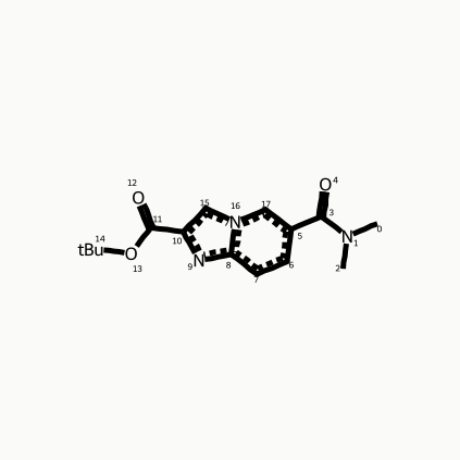 CN(C)C(=O)c1ccc2nc(C(=O)OC(C)(C)C)cn2c1